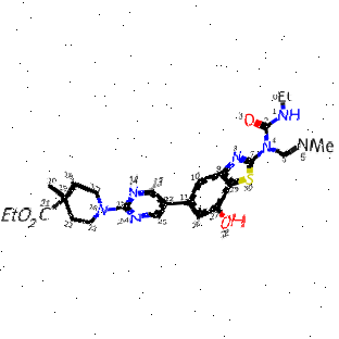 CCNC(=O)N(CNC)c1nc2cc(-c3cnc(N4CCC(C)(C(=O)OCC)CC4)nc3)cc(O)c2s1